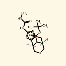 CNC(=O)Nc1nc2c(s1)[C@@H]1COC[C@H](C2)N1C(=O)OC(C)(C)C